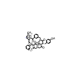 C=C=C(/C=C\NC)NC(=O)c1cccc(CN2C[C@H]3N(C(=O)CN(CC=C)N3C(=O)NCc3ccccc3)[C@@H](Cc3ccc(O)cc3)C2=O)c1